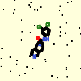 O=C(Nc1ccc(Cl)c(Cl)c1)N1C2CCC1c1ccncc1C2